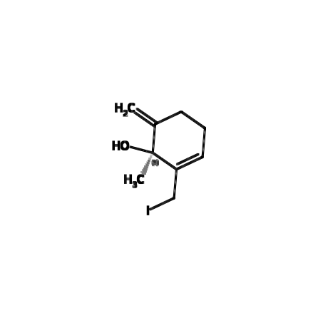 C=C1CCC=C(CI)[C@@]1(C)O